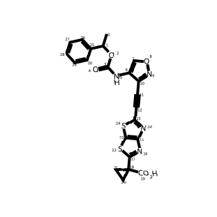 CC(OC(=O)Nc1conc1C#Cc1nc2nc(C3(C(=O)O)CC3)sc2s1)c1ccccc1